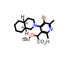 Cc1nc(C)c(C(OC(C)(C)C)C(=O)O)c(N2CC[C@H]3CCCC[C@H]3C2)c1Br